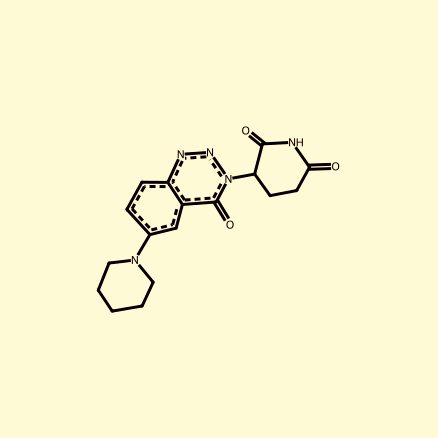 O=C1CCC(n2nnc3ccc(N4CCCCC4)cc3c2=O)C(=O)N1